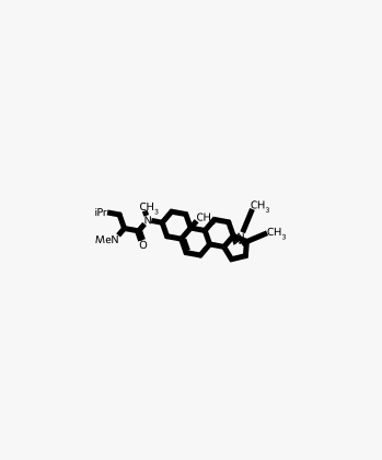 CNC(CC(C)C)C(=O)N(C)C1CCC2(C)C(=CCC3C2CCC24CN(C)C(C)C2CCC34)C1